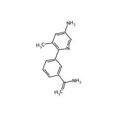 C=C(N)c1cccc(-c2ncc(N)cc2C)c1